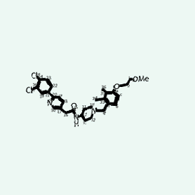 COCCOc1ccc(CN2CCC(NC(=O)Cc3ccc(-c4ccc(Cl)c(Cl)c4)nc3)CC2)c(C)c1C